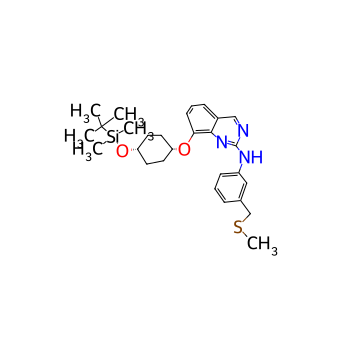 CSCc1cccc(Nc2ncc3cccc(O[C@H]4CC[C@@H](O[Si](C)(C)C(C)(C)C)CC4)c3n2)c1